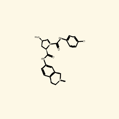 CO[C@@H]1C[C@H](C(=O)Nc2ccc3c(c2)CN(C)CC3)N(C(=O)Nc2ccc(Cl)cc2)C1